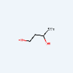 CSC(O)CCO